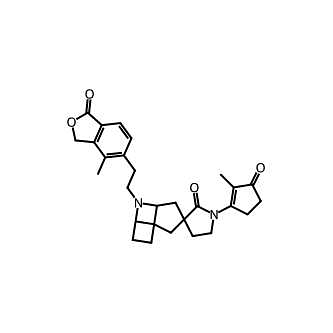 CC1=C(N2CCC3(CC4N(CCc5ccc6c(c5C)COC6=O)C5CCC54C3)C2=O)CCC1=O